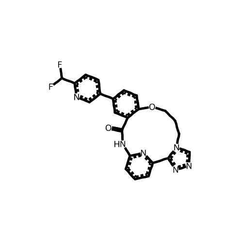 O=C1Nc2cccc(n2)-c2nncn2CCCOc2ccc(-c3ccc(C(F)F)nc3)cc21